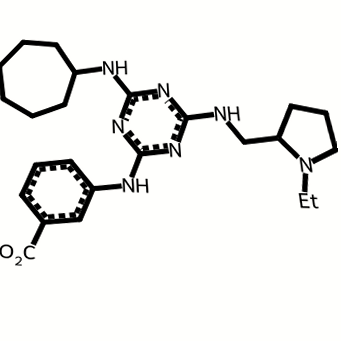 CCOC(=O)c1cccc(Nc2nc(NCC3CCCN3CC)nc(NC3CCCCCC3)n2)c1